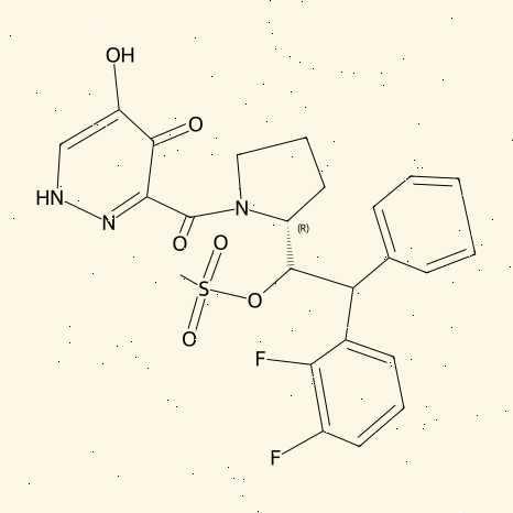 CS(=O)(=O)OC(C(c1ccccc1)c1cccc(F)c1F)[C@H]1CCCN1C(=O)c1n[nH]cc(O)c1=O